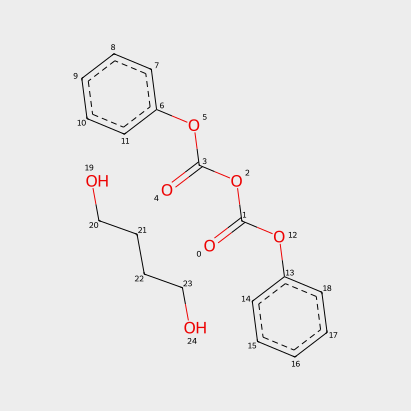 O=C(OC(=O)Oc1ccccc1)Oc1ccccc1.OCCCCO